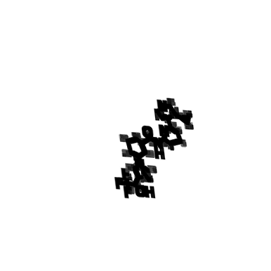 O=C(Nc1cccc(-c2nncn2C2CC2)n1)c1cccc(-n2cnc(C(O)C(F)(F)F)c2)c1